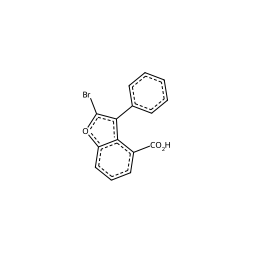 O=C(O)c1cccc2oc(Br)c(-c3ccccc3)c12